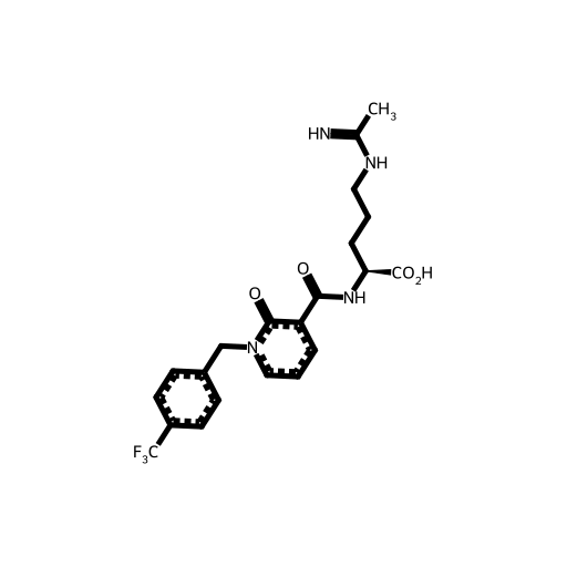 CC(=N)NCCC[C@H](NC(=O)c1cccn(Cc2ccc(C(F)(F)F)cc2)c1=O)C(=O)O